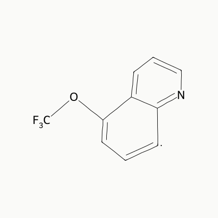 FC(F)(F)Oc1cc[c]c2ncccc12